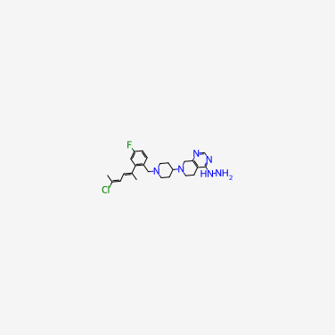 C/C(Cl)=C\C=C(/C)c1cc(F)ccc1CN1CCC(N2CCc3c(ncnc3NN)C2)CC1